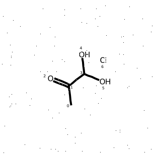 CC(=O)C(O)O.[C]